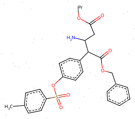 Cc1ccc(S(=O)(=O)Oc2ccc(C(C(=O)OCc3ccccc3)C(N)CC(=O)OC(C)C)cc2)cc1